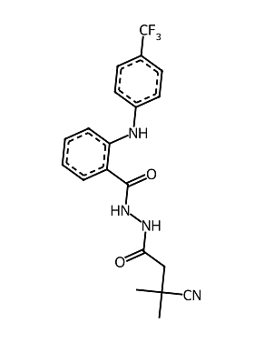 CC(C)(C#N)CC(=O)NNC(=O)c1ccccc1Nc1ccc(C(F)(F)F)cc1